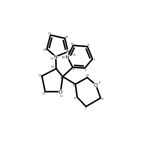 c1ccc(C2(C3CCCOC3)OCC[C]2n2cccn2)nc1